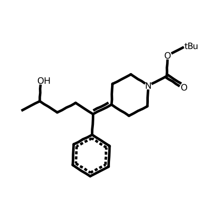 CC(O)CCC(=C1CCN(C(=O)OC(C)(C)C)CC1)c1ccccc1